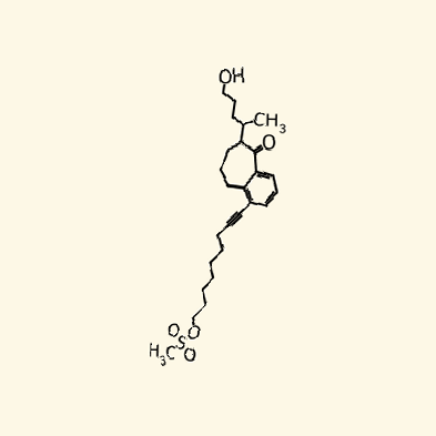 CC(CCCO)C1CCCc2c(C#CCCCCCCCOS(C)(=O)=O)cccc2C1=O